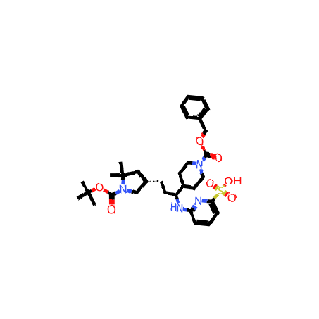 CC(C)(C)OC(=O)N1C[C@@H](CCC(Nc2cccc(S(=O)(=O)O)n2)C2CCN(C(=O)OCc3ccccc3)CC2)CC1(C)C